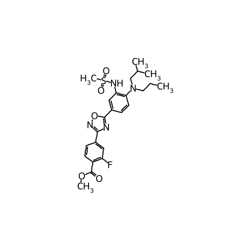 CCCN(CC(C)C)c1ccc(-c2nc(-c3ccc(C(=O)OC)c(F)c3)no2)cc1NS(C)(=O)=O